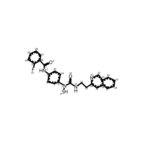 O=C(Nc1ccc(N(S)C(=O)NCCc2cc3ccccc3cn2)cc1)c1ccccc1F